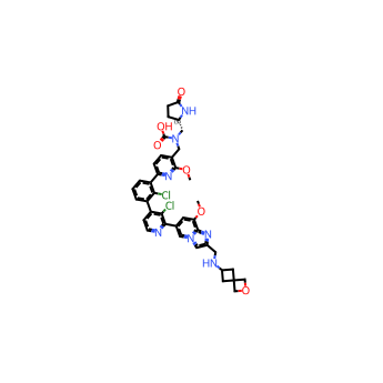 COc1nc(-c2cccc(-c3ccnc(-c4cc(OC)c5nc(CNC6CC7(COC7)C6)cn5c4)c3Cl)c2Cl)ccc1CN(C[C@@H]1CCC(=O)N1)C(=O)O